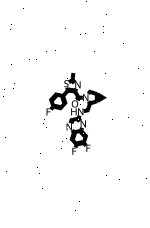 Cc1nc(C(=O)N2CC3CC3C2CNc2cnc3cc(F)c(F)cc3n2)c(-c2ccc(F)cc2)s1